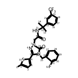 Cc1ccc(-c2nn(CC(=O)NC(C)(C)c3cccc(C(F)(F)F)c3)c(=O)n2Cc2ccccc2F)s1